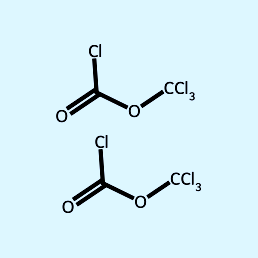 O=C(Cl)OC(Cl)(Cl)Cl.O=C(Cl)OC(Cl)(Cl)Cl